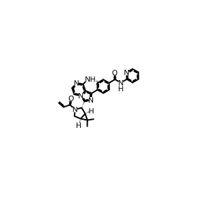 C=CC(=O)N1C[C@H]2[C@@H]([C@H]1c1nc(-c3ccc(C(=O)Nc4ccccn4)cc3)c3c(N)nccn13)C2(C)C